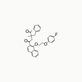 CC(=O)C(C)(CC(=O)c1ccc2ccccc2c1OCCOc1ccc(F)cc1)Cc1ccccc1